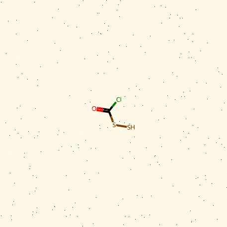 O=C(Cl)SS